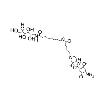 COc1cc(N)c(Cl)cc1C(=O)N[C@@H]1CCN(CCCCCC(=O)N(C)CCCCCCCC(=O)NC[C@H](O)[C@@H](O)[C@H](O)[C@H](O)CO)C[C@@H]1OC